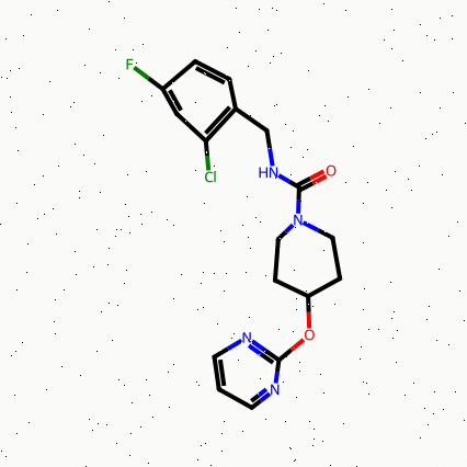 O=C(NCc1ccc(F)cc1Cl)N1CCC(Oc2ncccn2)CC1